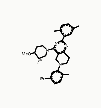 COC1CCN(c2nc(-c3cc(C)ccc3C)nc3c2CN(c2cc(C(C)C)ccc2C)CC3)C[C@@H]1C